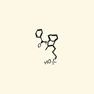 Cc1c(CCCC(=O)O)c2ccccc2n1C(=O)c1ccccc1